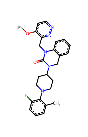 Cc1cccc(F)c1N1CCC(N2Cc3ccccc3N(Cc3nnccc3OC(C)C)C2=O)CC1